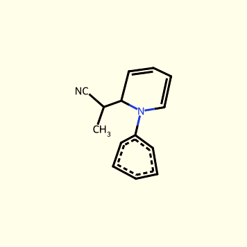 CC(C#N)C1C=CC=CN1c1ccccc1